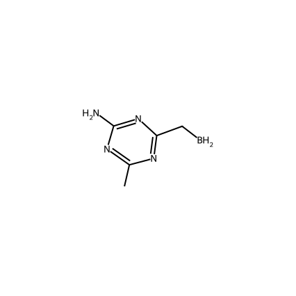 BCc1nc(C)nc(N)n1